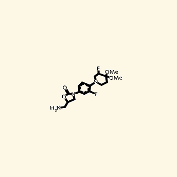 COC1(OC)CCN(c2ccc(N3CC(CN)OC3=O)cc2F)CC1F